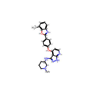 CCCN1CCC[C@@H](Nc2n[nH]c3nccc(Oc4ccc(-c5nc6cccc(C)c6o5)cc4)c23)C1